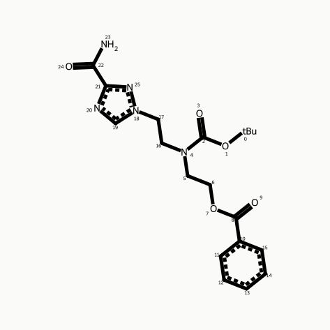 CC(C)(C)OC(=O)N(CCOC(=O)c1ccccc1)CCn1cnc(C(N)=O)n1